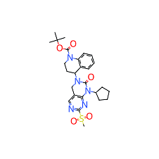 CC(C)(C)OC(=O)N1CCC(N2Cc3cnc(S(C)(=O)=O)nc3N(C3CCCC3)C2=O)c2ccccc21